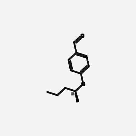 CCC[C@H](C)Oc1ccc(C=O)cc1